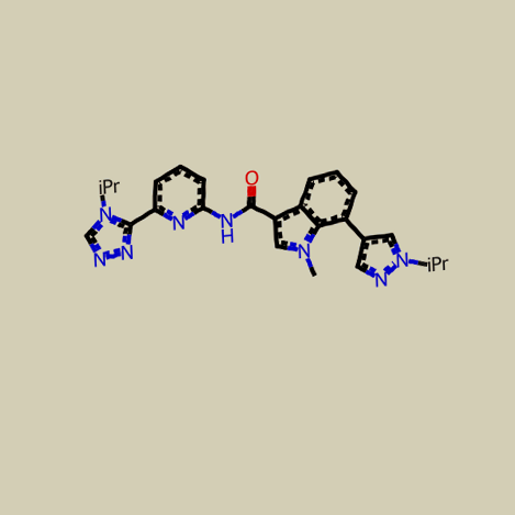 CC(C)n1cc(-c2cccc3c(C(=O)Nc4cccc(-c5nncn5C(C)C)n4)cn(C)c23)cn1